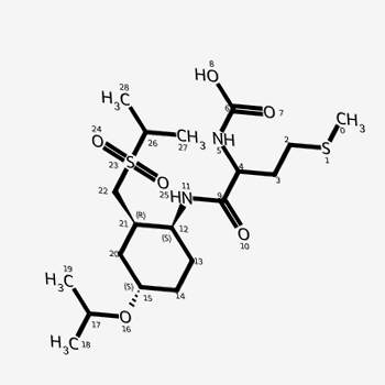 CSCCC(NC(=O)O)C(=O)N[C@H]1CC[C@H](OC(C)C)C[C@H]1CS(=O)(=O)C(C)C